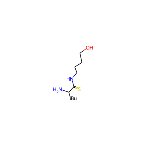 CCC(C)C(N)C(=S)NCCCCO